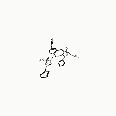 CCCS(=O)(=O)N1Cc2cc(C#N)ccc2N(CCN(OCc2ccccc2)S(C)(=O)=O)CC1Cc1ccccc1